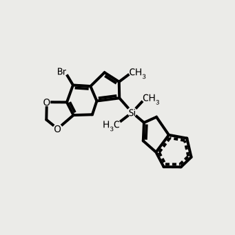 CC1=CC2=C(Br)C3=C(CC2=C1[Si](C)(C)C1=Cc2ccccc2C1)OCO3